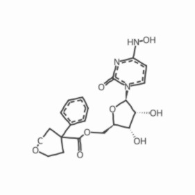 O=C(OC[C@H]1O[C@@H](n2ccc(NO)nc2=O)[C@H](O)[C@@H]1O)C1(c2ccccc2)CCOCC1